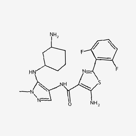 Cn1ncc(NC(=O)c2nc(-c3c(F)cccc3F)sc2N)c1NC1CCCC(N)C1